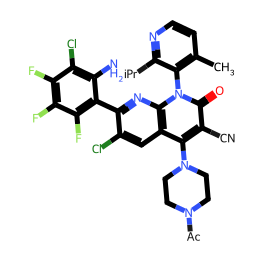 CC(=O)N1CCN(c2c(C#N)c(=O)n(-c3c(C)ccnc3C(C)C)c3nc(-c4c(N)c(Cl)c(F)c(F)c4F)c(Cl)cc23)CC1